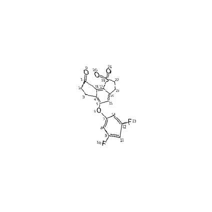 O=C1CCc2c(Oc3cc(F)cc(F)c3)cc3c(c21)S(=O)(=O)CC3